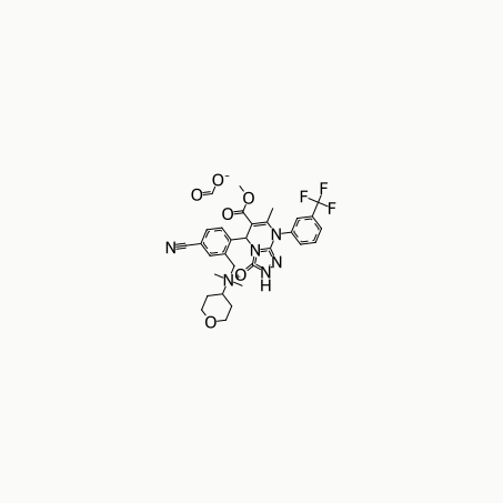 COC(=O)C1=C(C)N(c2cccc(C(F)(F)F)c2)c2n[nH]c(=O)n2C1c1ccc(C#N)cc1C[N+](C)(C)C1CCOCC1.O=C[O-]